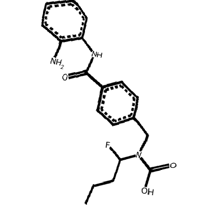 CCCC(F)N(Cc1ccc(C(=O)Nc2ccccc2N)cc1)C(=O)O